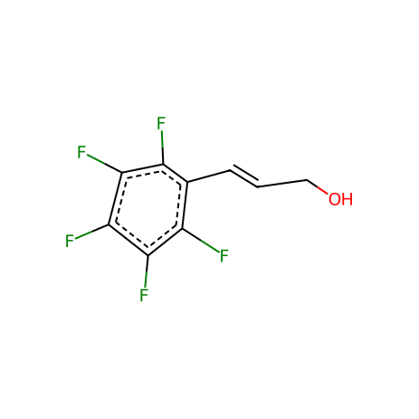 OCC=Cc1c(F)c(F)c(F)c(F)c1F